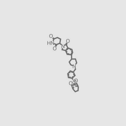 O=C1CCC(N2Cc3cc(C4CCN(Cc5cccc(S(=O)(=O)N6C7CCC6CC7)c5)CC4)ccc3C2=O)C(=O)N1